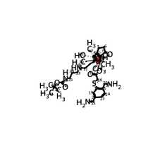 C[C@@H]1CC[C@@]23CCC(=O)[C@H]2[C@]1(C)[C@H](OC(=O)CSc1cc(CN)ccc1CN)C[C@](C)(CNCCCNC(=O)OC(C)(C)C)[C@@H](O)[C@@H]3C